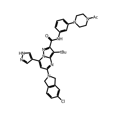 CC(=O)N1CCN(c2cccc(NC(=O)c3nn4c(-c5cn[nH]c5)cc(N5Cc6ccc(Cl)cc6C5)nc4c3C(C)(C)C)c2)CC1